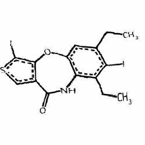 CCc1cc2c(c(CC)c1I)NC(=O)c1csc(I)c1O2